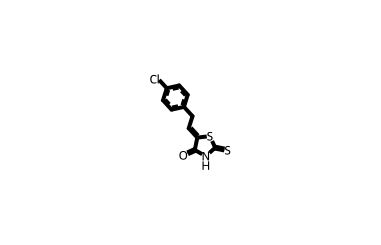 O=C1NC(=S)SC1=CCc1ccc(Cl)cc1